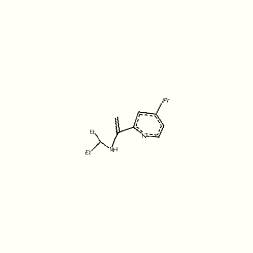 C=C(NC(CC)CC)c1cc(C(C)C)ccn1